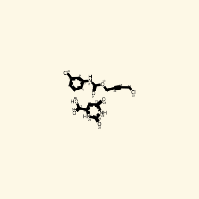 O=C(Nc1cccc(Cl)c1)OCC#CCCl.O=C(O)c1cc(=O)[nH]c(=O)[nH]1